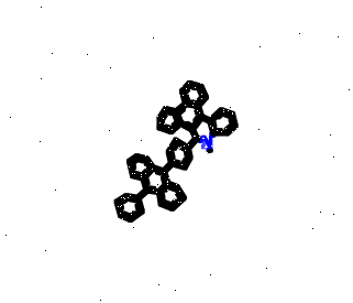 CN1c2ccccc2-c2c(c3ccccc3c3ccccc23)C1c1ccc(-c2c3ccccc3c(-c3ccccc3)c3ccccc23)cc1